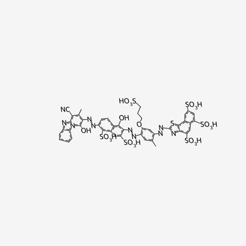 Cc1cc(N=Nc2c(S(=O)(=O)O)cc3c(S(=O)(=O)O)c(N=Nc4c(C)c(C#N)c5nc6ccccc6n5c4O)ccc3c2O)c(OCCCS(=O)(=O)O)cc1N=Nc1nc2c(S(=O)(=O)O)cc3c(S(=O)(=O)O)cc(S(=O)(=O)O)cc3c2s1